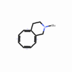 CC(C)(C)N1CCC2=C/C=C\C=C/C=C\2C1